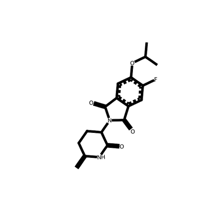 C=C1CCC(N2C(=O)c3cc(F)c(OC(C)C)cc3C2=O)C(=O)N1